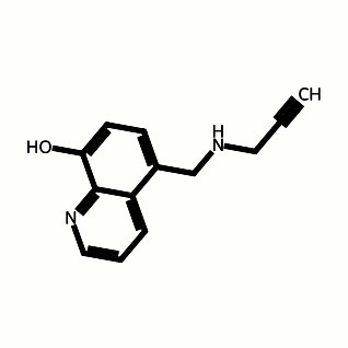 C#CCNCc1ccc(O)c2ncccc12